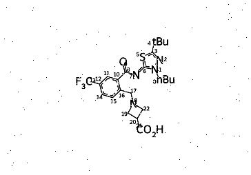 CCCCn1nc(C(C)(C)C)sc1=NC(=O)c1cc(C(F)(F)F)ccc1CN1CC(C(=O)O)C1